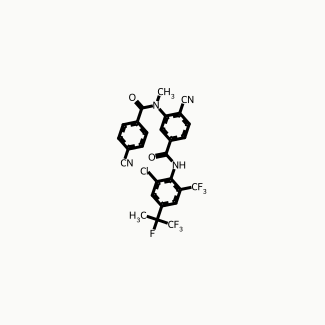 CN(C(=O)c1ccc(C#N)cc1)c1cc(C(=O)Nc2c(Cl)cc(C(C)(F)C(F)(F)F)cc2C(F)(F)F)ccc1C#N